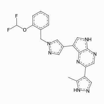 Cc1[nH]ncc1-c1cnc2[nH]cc(-c3cnn(Cc4ccccc4OC(F)F)c3)c2n1